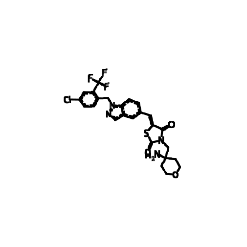 NC1(CN2C(=O)SC(=Cc3ccc4c(cnn4Cc4ccc(Cl)cc4C(F)(F)F)c3)C2=O)CCOCC1